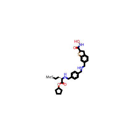 CSCC[C@H](NCc1ccc(CNCc2ccc3c(c2)SC(C(=O)NO)C3)cc1)C(=O)OC1CCCC1